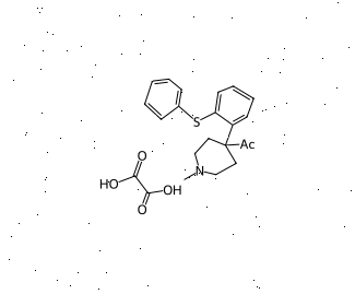 CC(=O)C1(c2ccccc2Sc2ccccc2)CCN(C)CC1.O=C(O)C(=O)O